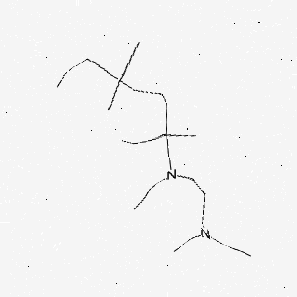 CCC(C)(C)CC(C)(C)N(C)CN(C)C